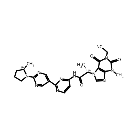 C[C@@H]1CCCN1c1ncc(-c2nccc(NC(=O)[C@H](C)n3cnc4c3c(=O)n(CC#N)c(=O)n4C)n2)cn1